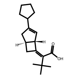 CC(C)(C)C(C(=O)O)=C1C[C@H]2CC(C3CCCC3)=C[C@H]12